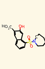 O=C(O)c1cc2cccc(S(=O)(=O)N3CCCCCC3)c2cc1O